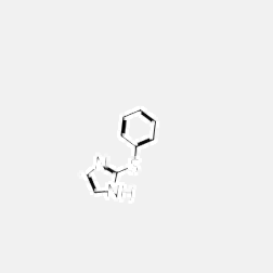 [c]1c[nH]c(Sc2ccccc2)n1